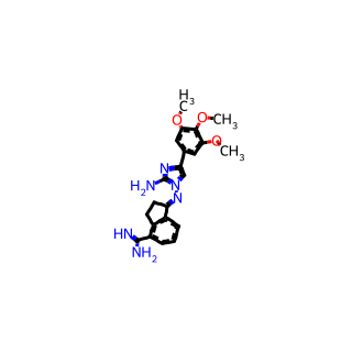 COc1cc(-c2cn(N=C3CCc4c(C(=N)N)cccc43)c(N)n2)cc(OC)c1OC